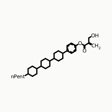 C=C(CO)C(=O)Oc1ccc(C2CCC(C3CCC(C4CCC(CCCCC)CC4)CC3)CC2)cc1